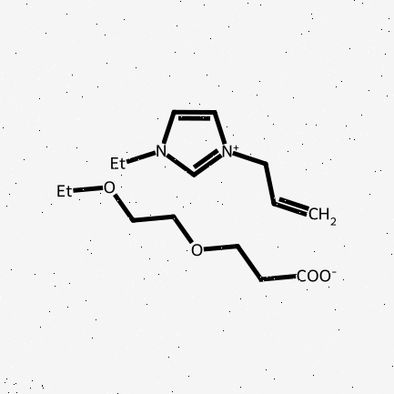 C=CC[n+]1ccn(CC)c1.CCOCCOCCC(=O)[O-]